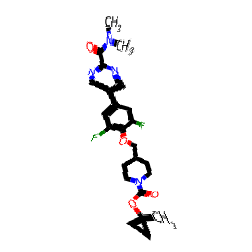 CN(C)C(=O)c1ncc(-c2cc(F)c(OCC3CCN(C(=O)OC4(C)CC4)CC3)c(F)c2)cn1